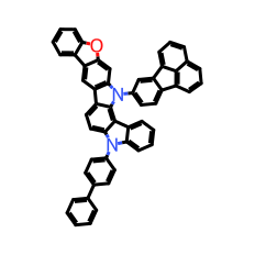 c1ccc(-c2ccc(-n3c4ccccc4c4c3ccc3c5cc6c(cc5n(-c5ccc7c(c5)-c5cccc8cccc-7c58)c34)oc3ccccc36)cc2)cc1